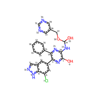 Oc1nc(-c2cc(Cl)c3[nH]ncc3c2)c(-c2ccccc2)nc1NC(O)OCc1cncnc1